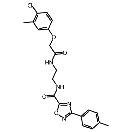 Cc1ccc(-c2noc(C(=O)NCCNC(=O)COc3ccc(Cl)c(C)c3)n2)cc1